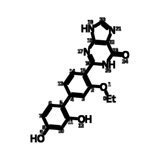 CCOc1cc(-c2ccc(O)cc2O)ccc1-c1nc2[nH]cnc2c(=O)[nH]1